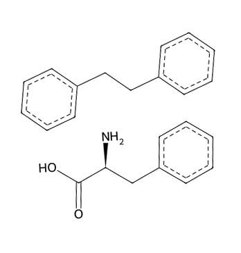 N[C@@H](Cc1ccccc1)C(=O)O.c1ccc(CCc2ccccc2)cc1